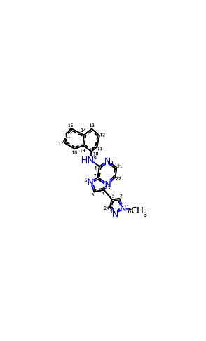 Cn1cc(-c2cnc3c(Nc4cccc5ccccc45)nccn23)cn1